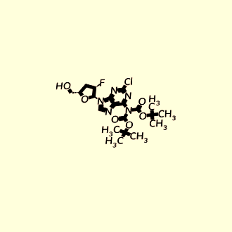 CC(C)(C)OC(=O)N(C(=O)OC(C)(C)C)c1nc(Cl)nc2c1ncn2[C@@H]1O[C@H](CO)C[C@@H]1F